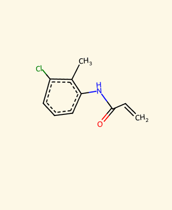 C=CC(=O)Nc1cccc(Cl)c1C